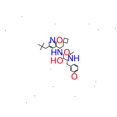 COc1cccc(C[C@H](NC(C)=O)[C@H](O)CN[C@H]2CC3(CCC3)Oc3ncc(CC(C)(C)C)cc32)c1